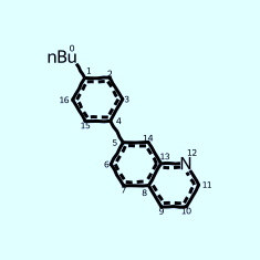 CCCCc1ccc(-c2ccc3cccnc3c2)cc1